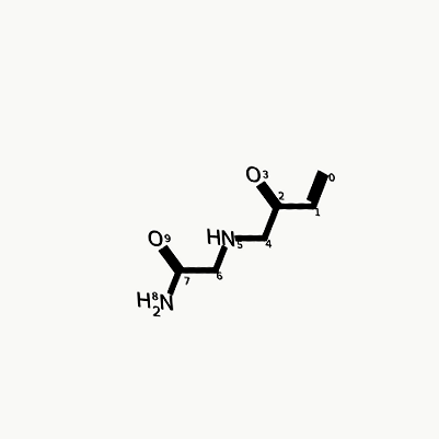 C=CC(=O)CNCC(N)=O